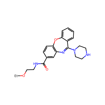 CCOCCNC(=O)c1ccc2c(c1)N=C(N1CCNCC1)c1ccccc1O2